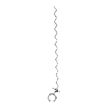 [CH2]CCCCCCCCCCCCCCCCCCCCC[Si](C)(C)c1ccccc1